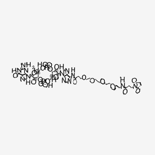 Nc1nc2c(ncn2[C@@H]2O[C@@H]3COP(=O)(O)OC4[C@@H](COP(=O)(O)OC3[C@@H]2O)O[C@@H](n2cnc3c(NC(=O)CCOCCOCCOCCOCCNC(=O)CCN5C(=O)C=CC5=O)ncnc32)[C@H]4O)c(=O)[nH]1